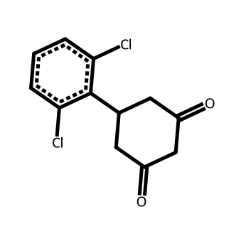 O=C1CC(=O)CC(c2c(Cl)cccc2Cl)C1